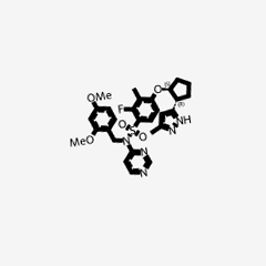 COc1ccc(CN(c2ccncn2)S(=O)(=O)c2ccc(O[C@H]3CCC[C@@H]3c3cc(C)n[nH]3)c(C)c2F)c(OC)c1